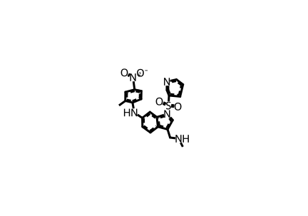 CNCc1cn(S(=O)(=O)c2cccnc2)c2cc(Nc3ccc([N+](=O)[O-])cc3C)ccc12